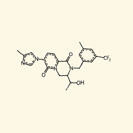 Cc1cc(CN2C(=O)c3ccc(-n4cnc(C)c4)c(=O)n3CC2C(C)O)cc(C(F)(F)F)c1